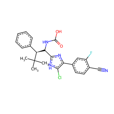 CC(C)(C)[C@@H](c1ccccc1)C(NC(=O)O)c1nc(-c2ccc(C#N)c(F)c2)c(Cl)[nH]1